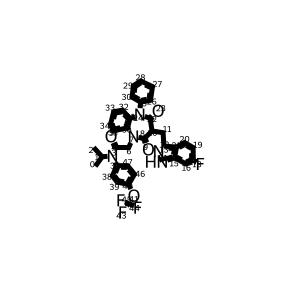 CC(C)N(C(=O)CN1C(=O)C(Cc2n[nH]c3cc(F)ccc23)C(=O)N(c2ccccc2)c2ccccc21)c1ccc(OC(F)(F)F)cc1